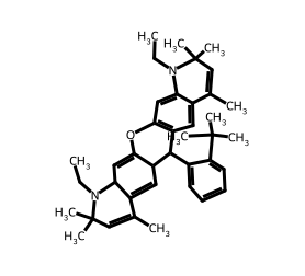 CCN1c2cc3c(cc2C(C)=CC1(C)C)C(c1ccccc1C(C)(C)C)C1C=C2C(C)=CC(C)(C)N(CC)C2C=C1O3